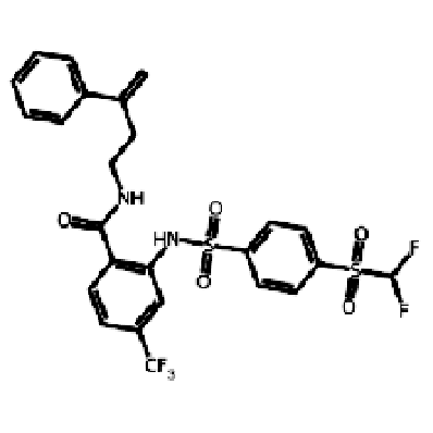 C=C(CCNC(=O)c1ccc(C(F)(F)F)cc1NS(=O)(=O)c1ccc(S(=O)(=O)C(F)F)cc1)c1ccccc1